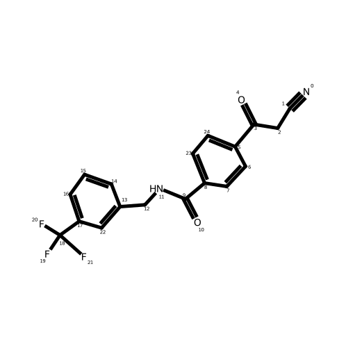 N#CCC(=O)c1ccc(C(=O)NCc2cccc(C(F)(F)F)c2)cc1